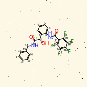 O=C(Nc1ccccc1C(O)C(=O)NCc1ccccc1)c1c(F)c(F)c(F)c(F)c1F